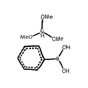 CO[SiH](OC)OC.OB(O)c1ccccc1